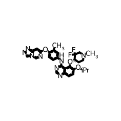 Cc1cc(Nc2ncnc3ccc(OC(C)C)c(O[C@H]4CCN(C)CC4(F)F)c23)ccc1Oc1cc2nncn2cn1